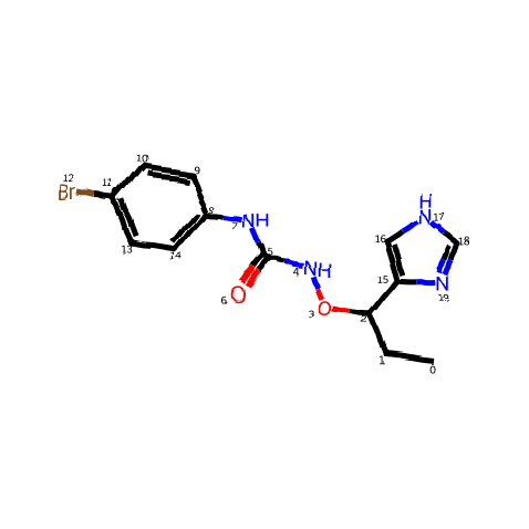 CCC(ONC(=O)Nc1ccc(Br)cc1)c1c[nH]cn1